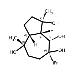 CC(C)[C@]1(O)CC[C@](C)(O)[C@@H]2CC[C@@](C)(O)[C@@H]2[C@@H]1O